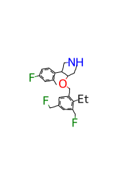 CCc1c(CF)cc(CF)cc1COC1CCNCC1c1ccc(F)cc1C